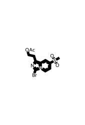 CC(=O)OCCc1nc(Br)n2ccc(S(C)(=O)=O)cc12